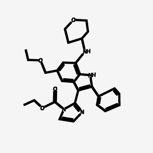 CCOCc1cc(NC2CCOCC2)c2[nH]c(-c3ccccc3)c(-c3nccn3C(=O)OCC)c2c1